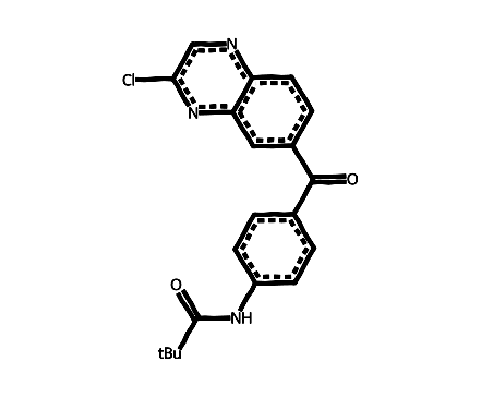 CC(C)(C)C(=O)Nc1ccc(C(=O)c2ccc3ncc(Cl)nc3c2)cc1